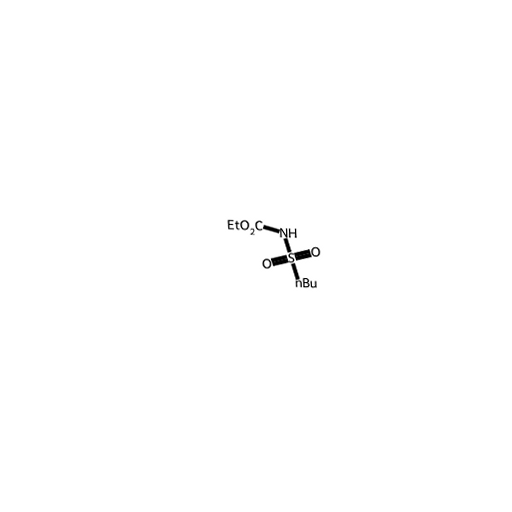 CCCCS(=O)(=O)NC(=O)OCC